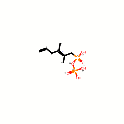 C=CC/C(C)=C(\C)CP(=O)(O)OP(=O)(O)O